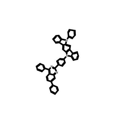 c1ccc(-c2ccc3c(-c4ccccc4)nc(-c4ccc(-n5c6ccccc6c6cc7c(cc65)c5ccccc5n7-c5ccccc5)cc4)nc3c2)cc1